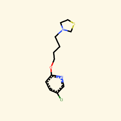 Clc1ccc(OCCCCN2CCSC2)nc1